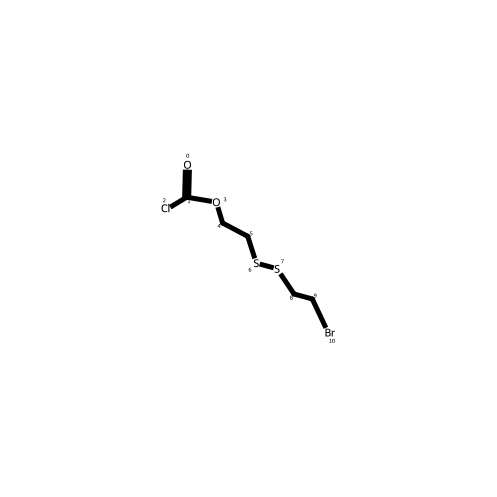 O=C(Cl)OCCSSCCBr